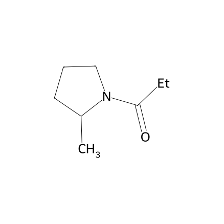 CCC(=O)N1CCCC1C